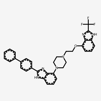 FC(F)(F)c1nc2c(OCCN3CCN(c4cccc5[nH]c(-c6ccc(-c7ccccc7)cc6)nc45)CC3)cccc2[nH]1